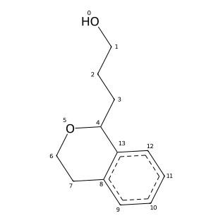 OCCCC1OCCc2ccccc21